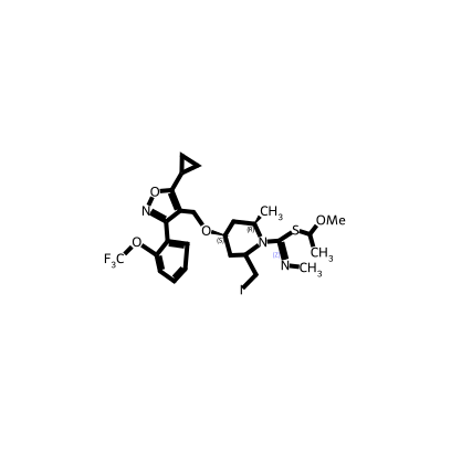 C/N=C(\SC(C)OC)N1C(CI)C[C@@H](OCc2c(-c3ccccc3OC(F)(F)F)noc2C2CC2)C[C@H]1C